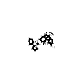 CN1CC[C@]23c4c5ccc(O)c4O[C@H]2[C@@H](OC(=O)N2CCC[C@H]2c2cccnc2)C=C[C@H]3[C@H]1C5